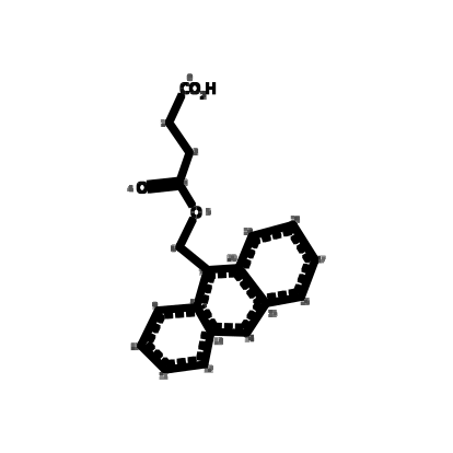 O=C(O)CCC(=O)OCc1c2ccccc2cc2ccccc12